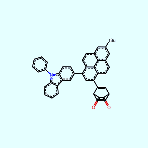 CC(C)(C)c1cc2ccc3c(C4=CC5C=CC4C(=O)C5=O)cc(-c4ccc5c(c4)c4ccccc4n5-c4ccccc4)c4ccc(c1)c2c34